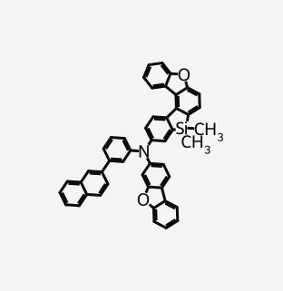 C[Si]1(C)c2cc(N(c3cccc(-c4ccc5ccccc5c4)c3)c3ccc4c(c3)oc3ccccc34)ccc2-c2c1ccc1oc3ccccc3c21